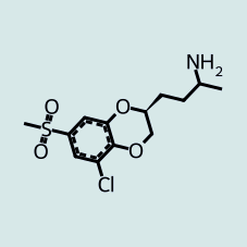 CC(N)CC[C@H]1COc2c(Cl)cc(S(C)(=O)=O)cc2O1